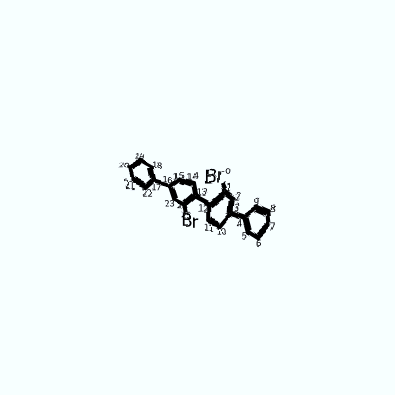 Brc1cc(-c2ccccc2)ccc1-c1ccc(-c2ccccc2)cc1Br